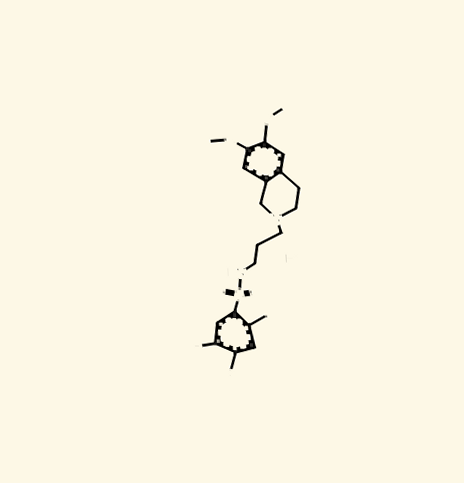 COc1cc2c(cc1OC)CN(CCCNS(=O)(=O)c1cc(F)c(Br)cc1F)CC2.Cl